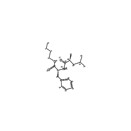 CCCCOC(=O)[C@H](Cc1ccccc1)NC(=O)[C@@H](C)CC(C)C